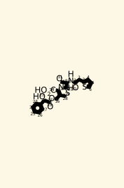 O=C(Cc1cccs1)N[C@@H]1C(=O)N2C(C(=O)O)=C(COC(=O)C(O)c3ccccc3)CS[C@H]12